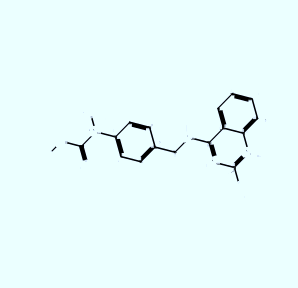 COC(=O)N(C)c1ccc(CNc2nc(C)nc3ccccc23)cc1